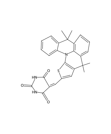 CC1(C)c2ccccc2N2c3sc(C=C4C(=O)NC(=O)NC4=O)cc3C(C)(C)c3cccc1c32